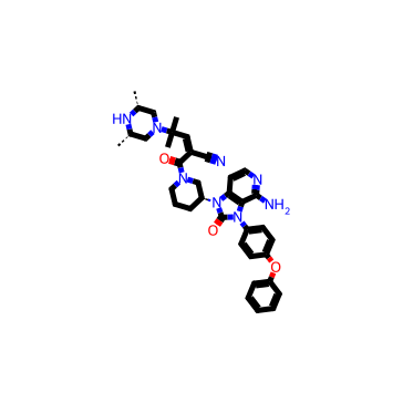 C[C@@H]1CN(C(C)(C)/C=C(/C#N)C(=O)N2CCC[C@@H](n3c(=O)n(-c4ccc(Oc5ccccc5)cc4)c4c(N)nccc43)C2)C[C@H](C)N1